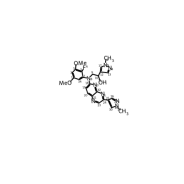 COc1cc(OC)c(F)c(N(CC(O)c2cnn(C)c2)c2ccc3ncc(-c4cnn(C)c4)nc3n2)c1